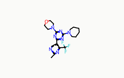 Cc1ncc(-c2nc(N3CCCCCC3)nc(N3CCOCC3)n2)c(C(F)(F)F)n1